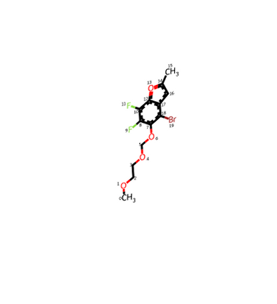 COCCOCOc1c(F)c(F)c2oc(C)cc2c1Br